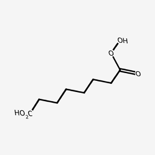 O=C(O)CCCCCCC(=O)OO